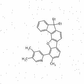 CCC1(CC)c2ccccc2-c2c1ccc1c2oc2c(-c3cc(C)c(C)cn3)c(C)ccc21